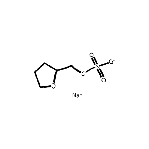 O=S(=O)([O-])OCC1CCCO1.[Na+]